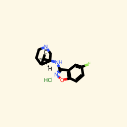 Cl.Fc1ccc2onc(N[C@@H]3CN4CCC3CC4)c2c1